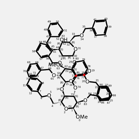 CO[C@H]1O[C@H](COCc2ccccc2)[C@@H](O[C@@H]2O[C@@H](C(=O)OCc3ccccc3)[C@@H](O[C@H]3O[C@H](COCc4ccccc4)[C@@H](O)[C@H](OCc4ccccc4)[C@H]3OCc3ccccc3)[C@H](OC)[C@H]2OCc2ccccc2)[C@H](OCc2ccccc2)[C@H]1OCc1ccccc1